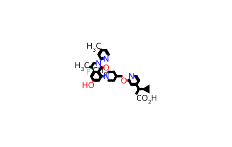 Cc1ccnc(N(CC(C)(C)F)C(=O)c2ccc(O)cc2N2CCC(COc3cc(C(CC(=O)O)C4CC4)ccn3)CC2)c1